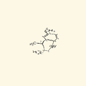 Cc1ccc2c(c1)C(C)C(C)CN2